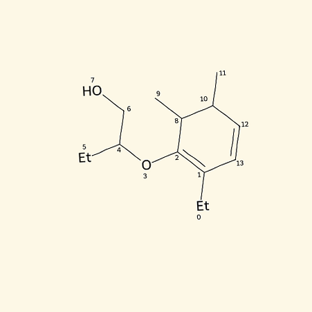 CCC1=C(OC(CC)CO)C(C)C(C)C=C1